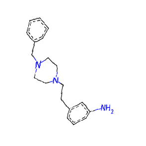 Nc1cccc(CCN2CCN(Cc3ccccc3)CC2)c1